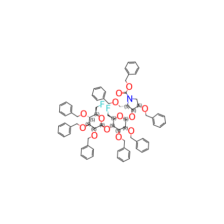 O=C(OCc1ccccc1)N1C[C@H](OCc2ccccc2)[C@H](O[C@H]2O[C@H](CF)[C@@H](O[C@@H]3O[C@H](CF)[C@@H](OCc4ccccc4)[C@H](OCc4ccccc4)[C@H]3OCc3ccccc3)[C@H](OCc3ccccc3)[C@H]2OCc2ccccc2)[C@@H]1COCc1ccccc1